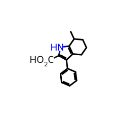 CC1CCCc2c1[nH]c(C(=O)O)c2-c1ccccc1